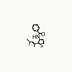 CC(=CC(C)C)c1sccc1NC(=O)c1ccccc1